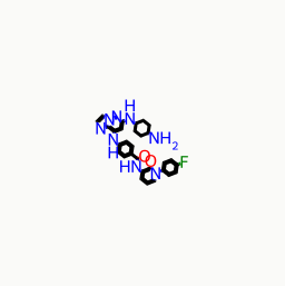 NC1CCC(Nc2cc(Nc3ccc(C(=O)Nc4cccn(-c5ccc(F)cc5)c4=O)cc3)c3nccn3n2)CC1